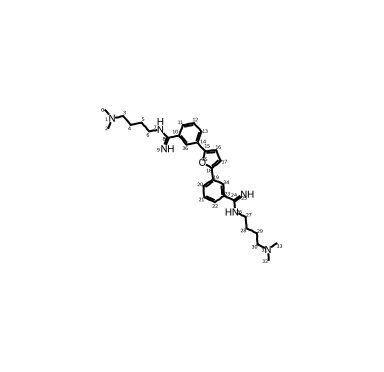 CN(C)CCCCNC(=N)c1cccc(-c2ccc(-c3cccc(C(=N)NCCCCN(C)C)c3)o2)c1